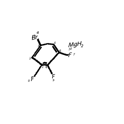 Fc1cc(Br)cc(F)c1F.[MgH2]